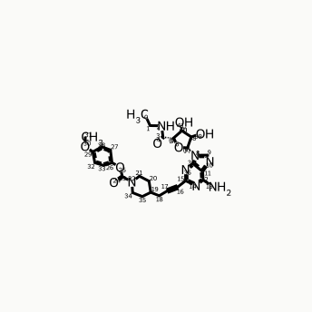 CCNC(=O)[C@H]1O[C@@H](n2cnc3c(N)nc(C#CCC4CCN(C(=O)Oc5ccc(OC)cc5)CC4)nc32)C(O)[C@H]1O